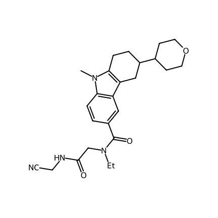 CCN(CC(=O)NCC#N)C(=O)c1ccc2c(c1)c1c(n2C)CCC(C2CCOCC2)C1